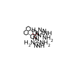 Nc1n[nH]c(N)c1/N=N/c1cccc(-c2cccc3cccc(-c4cccc(/N=N/c5c(N)n[nH]c5N)c4)c23)c1